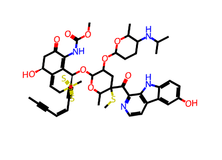 CC#C/C=C\C#C[C@H](OC1OC(C)C(SC)(C(=O)c2nccc3c2[nH]c2ccc(O)cc23)CC1OC1CCC(NC(C)C)C(C)O1)C1=C(NC(=O)OC)C(=O)C[C@H](O)/C1=C/CS(C)(=S)=S